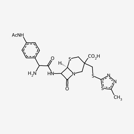 CC(=O)Nc1ccc(C(N)C(=O)NC2C(=O)N3CC(CSc4nnc(C)s4)(C(=O)O)CS[C@H]23)cc1